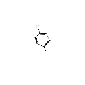 SSc1ccc(Br)cc1